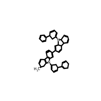 CC1C=Cc2c(n(C3=CC=CC(C4=CCCC=C4)C3)c3cc(C4=CC5C(C=C4)C4C=CC=CC4N5C4=CC=CC(c5ccccc5)C4)c#cc23)C1